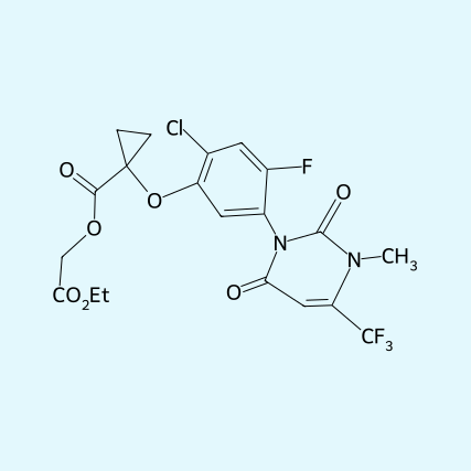 CCOC(=O)COC(=O)C1(Oc2cc(-n3c(=O)cc(C(F)(F)F)n(C)c3=O)c(F)cc2Cl)CC1